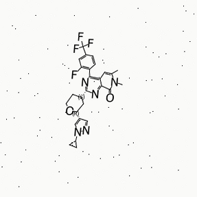 Cc1cc2c(-c3ccc(C(F)(F)F)cc3F)nc([C@H]3CCO[C@@H](c4cnn(C5CC5)c4)C3)nc2c(=O)n1C